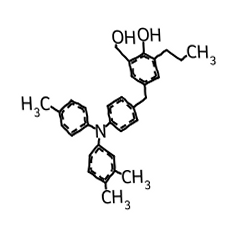 CCCc1cc(Cc2ccc(N(c3ccc(C)cc3)c3ccc(C)c(C)c3)cc2)cc(CO)c1O